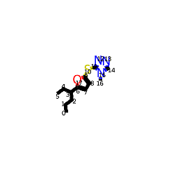 CCCC(CC)c1ccc(Sc2nncn2C)o1